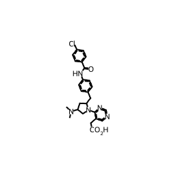 CN(C)C1CC(Cc2ccc(NC(=O)c3ccc(Cl)cc3)cc2)N(c2ncncc2CC(=O)O)C1